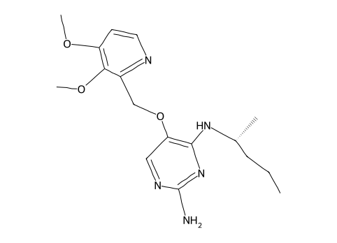 CCC[C@@H](C)Nc1nc(N)ncc1OCc1nccc(OC)c1OC